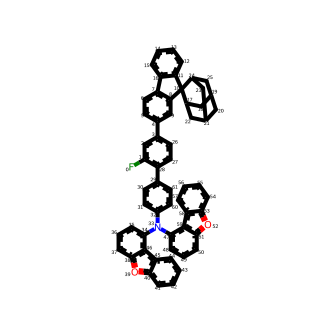 Fc1cc(-c2ccc3c(c2)C2(c4ccccc4-3)C3CC4CC(C3)CC2C4)ccc1-c1ccc(N(c2cccc3oc4ccccc4c23)c2cccc3oc4ccccc4c23)cc1